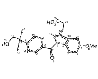 COc1ccc2c(C(=O)c3ccc(C(F)(F)CO)nc3)nn(CC(=O)O)c2c1